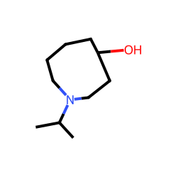 CC(C)N1CCCCC(O)CC1